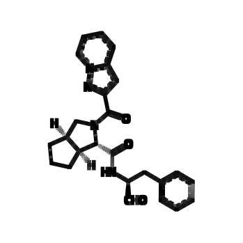 O=C[C@H](Cc1ccccc1)NC(=O)[C@@H]1[C@H]2CCC[C@H]2CN1C(=O)c1cc2ccccn2n1